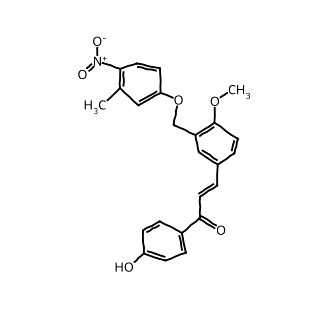 COc1ccc(/C=C/C(=O)c2ccc(O)cc2)cc1COc1ccc([N+](=O)[O-])c(C)c1